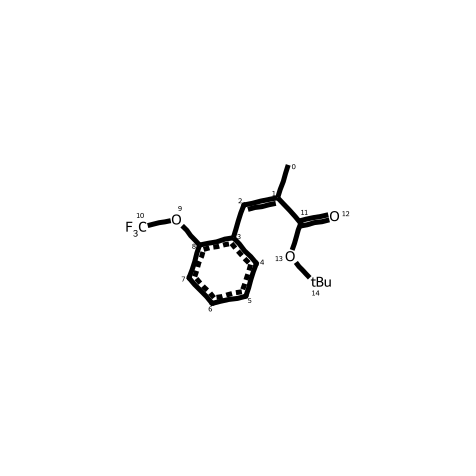 CC(=Cc1ccccc1OC(F)(F)F)C(=O)OC(C)(C)C